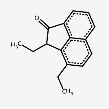 CCc1ccc2cccc3c2c1C(CC)C3=O